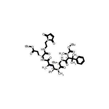 C/C(=C\[C@H](C(C)C)N(C)C(=O)[C@@H](NC(=O)[C@@H](N(C)C(=O)OC(C)(C)C)C(C)(C)c1ccccc1)C(C)(C)C)C(=O)N[C@H](CCC(=O)OC(C)(C)C)C(=O)NCCN1C(=O)C=CC1=O